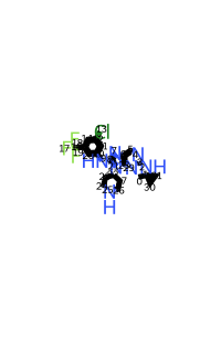 CC1(Nc2ncc3nc(Nc4cc(Cl)cc(C(F)(F)F)c4)n(C4CCNCC4)c3n2)CC1